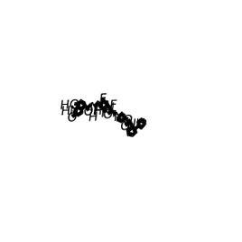 O=C(Nc1ccccc1-c1ccccc1)OC1CCN(CCC(=O)N(F)c2cc(F)c(CNCC(O)c3ccc(O)c4[nH]c(=O)ccc34)c(F)c2F)CC1